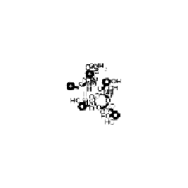 NS(=O)(=O)c1cc2c(cc1Cl)N=C(CSCc1ccccc1)NS2(=O)=O.O=C(N[C@H]1COC(=O)[C@@H](NC(=O)c2cccc(O)c2O)COC(=O)[C@@H](NC(=O)c2cccc(O)c2O)COC1=O)c1cccc(O)c1O